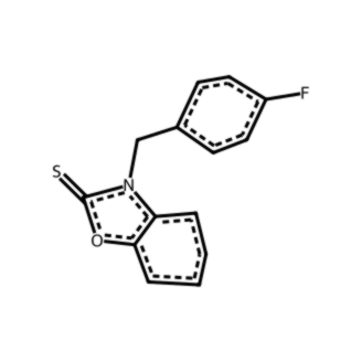 Fc1ccc(Cn2c(=S)oc3ccccc32)cc1